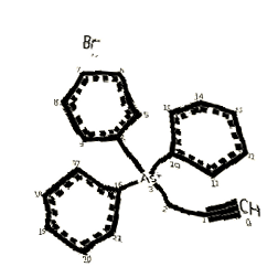 C#CC[As+](c1ccccc1)(c1ccccc1)c1ccccc1.[Br-]